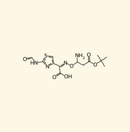 CC(C)(C)OC(=O)CC(N)ON=C(C(=O)O)c1csc(NC=O)n1